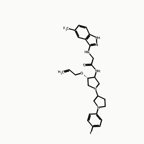 C=CCO[C@H]1CN(C2CCN(c3ccc(F)cc3)C2)CC1NC(=O)CNc1n[nH]c2ccc(C(F)(F)F)cc12